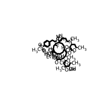 C=C1CC[C@@H]2[C@@H](C)/C(=N/O)[C@H](C)C[C@@](C)(CC1)[C@H](O[C@@H]1O[C@H](C)C[C@H](N(C)CCc3cn([C@H](CF)Cc4ccc(S(C)(=O)=O)cc4)nn3)[C@H]1O)[C@@H](C)[C@H](C1C[C@@](C)(OC)[C@@H](O)[C@H](C)O1)[C@@H](C)C(=O)O[C@H](CC)[C@@]2(C)O